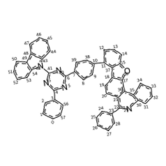 c1ccc(-c2nc(-c3ccc(-c4cccc5oc6c(ccc7c(-c8ccccc8)nc8ccccc8c76)c45)cc3)nc(-n3c4ccccc4c4ccccc43)n2)cc1